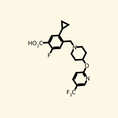 O=C(O)c1cc(C2CC2)c(CN2CCC(Oc3ccc(C(F)(F)F)cn3)CC2)cc1F